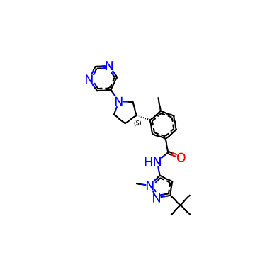 Cc1ccc(C(=O)Nc2cc(C(C)(C)C)nn2C)cc1[C@@H]1CCN(c2cncnc2)C1